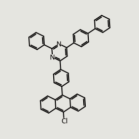 Clc1c2ccccc2c(-c2ccc(-c3cc(-c4ccc(-c5ccccc5)cc4)nc(-c4ccccc4)n3)cc2)c2ccccc12